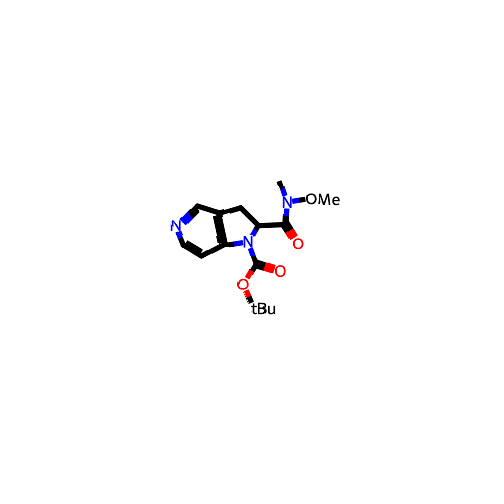 CON(C)C(=O)C1Cc2cnccc2N1C(=O)OC(C)(C)C